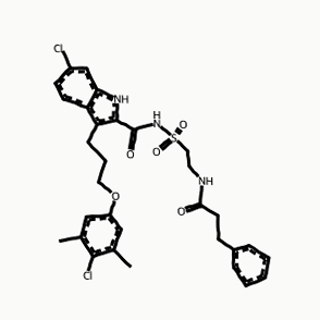 Cc1cc(OCCCc2c(C(=O)NS(=O)(=O)CCNC(=O)CCc3ccccc3)[nH]c3cc(Cl)ccc23)cc(C)c1Cl